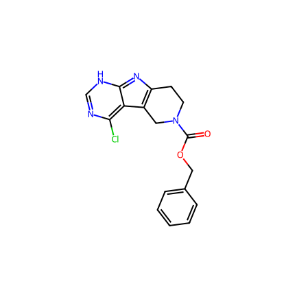 O=C(OCc1ccccc1)N1CCc2nc3[nH]cnc(Cl)c-3c2C1